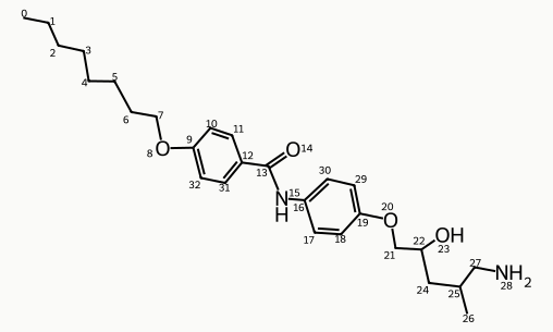 CCCCCCCCOc1ccc(C(=O)Nc2ccc(OCC(O)CC(C)CN)cc2)cc1